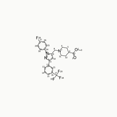 COC(=O)C1CCN(Cc2cc(-c3cccc(C(F)(F)F)c3)nn2-c2ccc(F)cc2)CC1